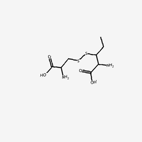 CCC(SSCC(N)C(=O)O)C(N)C(=O)O